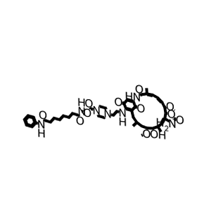 COC1C=CC=C(C)C(=O)NC2=CC(=O)C(NCCN3CCN(C(=O)ONC(=O)CCCCCCC(=O)Nc4ccccc4)CC3)=C(CC(C)CC(OC)C(O)C(C)C=C(C)C1OC(N)=O)C2=O